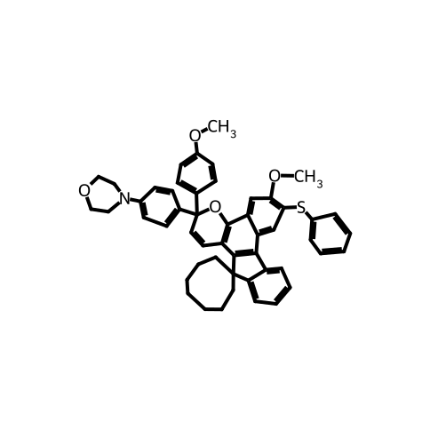 COc1ccc(C2(c3ccc(N4CCOCC4)cc3)C=Cc3c4c(c5cc(Sc6ccccc6)c(OC)cc5c3O2)-c2ccccc2C42CCCCCCC2)cc1